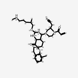 C=CC(=O)N1CCN(C2NC(OCC(C)CCCNC)NC3C(=O)[C@]4(CCc5cccc(C)c5S4)CCC32)CC1CC#N